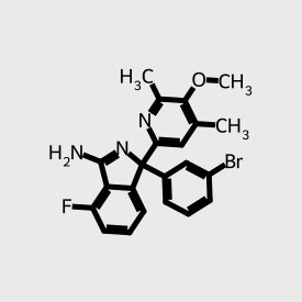 COc1c(C)cc(C2(c3cccc(Br)c3)N=C(N)c3c(F)cccc32)nc1C